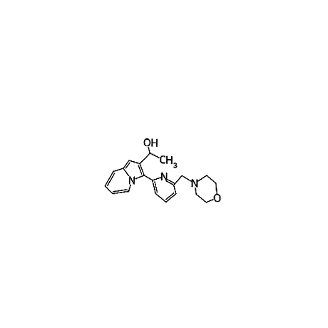 CC(O)c1cc2ccccn2c1-c1cccc(CN2CCOCC2)n1